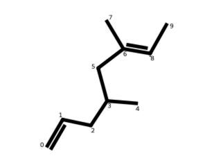 C=CCC(C)CC(C)=[C]C